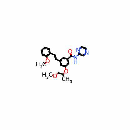 COC[C@H](C)Oc1cc(C=Cc2ccccc2OC)cc(C(=O)Nc2cnccn2)c1